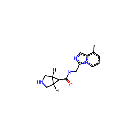 Cc1cccn2c(CNC(=O)[C@H]3[C@@H]4CNC[C@@H]43)ncc12